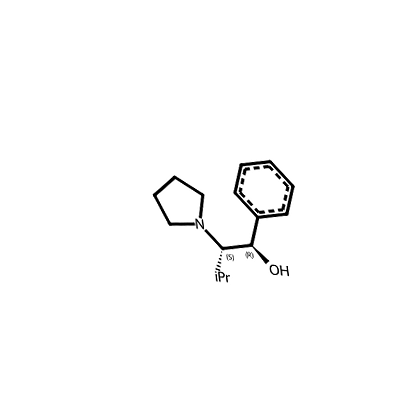 CC(C)[C@@H]([C@H](O)c1ccccc1)N1CCCC1